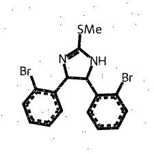 CSC1=NC(c2ccccc2Br)C(c2ccccc2Br)N1